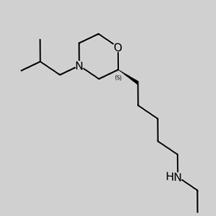 CCNCCCCC[C@H]1CN(CC(C)C)CCO1